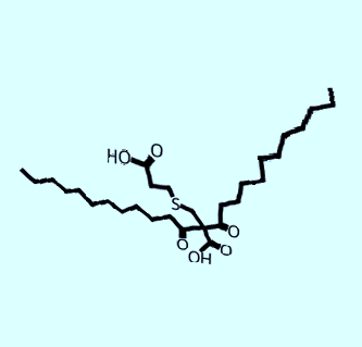 CCCCCCCCCCCC(=O)C(CSCCC(=O)O)(C(=O)O)C(=O)CCCCCCCCCCC